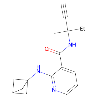 C#CC(C)(CC)NC(=O)c1cccnc1NC12CC(C1)C2